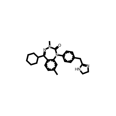 Cc1ccc2c(c1)N(c1ccc(CC3=NCCN3)cc1)C(=O)N(C)N=C2C1CCCCC1